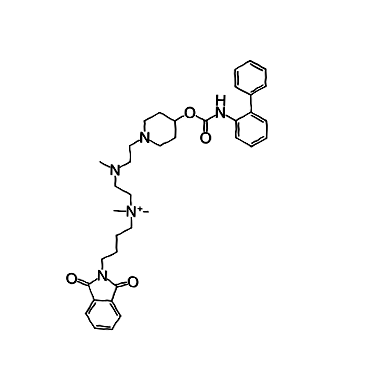 CN(CCN1CCC(OC(=O)Nc2ccccc2-c2ccccc2)CC1)CC[N+](C)(C)CCCCN1C(=O)c2ccccc2C1=O